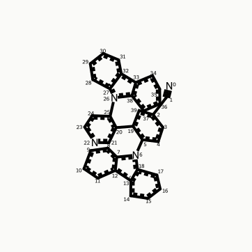 N#Cc1ccc(-n2c3ccccc3c3ccccc32)c(-c2cnccc2-n2c3ccccc3c3ccccc32)c1